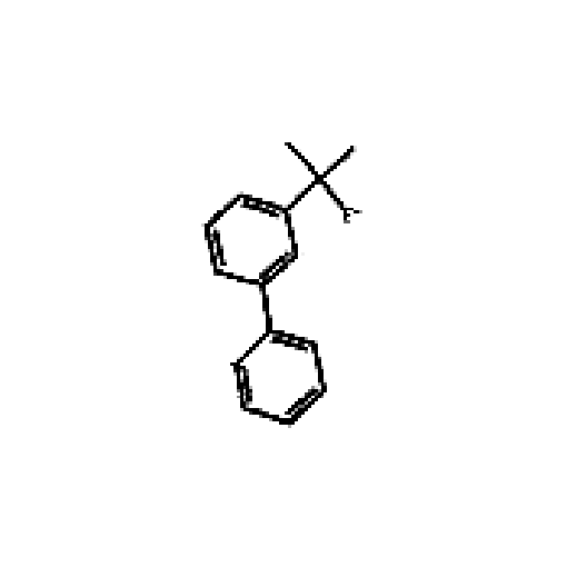 CCC(C)(C)c1[c]c(-c2[c]cccc2)ccc1